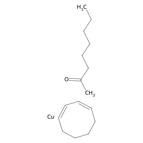 C1=CCCCCC=C1.CCCCCCC(C)=O.[Cu]